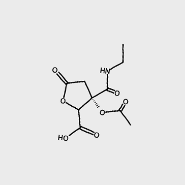 CCNC(=O)[C@]1(OC(C)=O)CC(=O)OC1C(=O)O